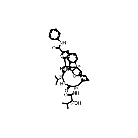 CC(C)[C@H](O)C(=O)N[C@H]1Cc2ccc3c(c2)[C@@]2(c4ccccc4NC2O3)c2oc(nc2-c2nc(C(=O)Nc3ccccc3)co2)[C@H](C(C)C)NC1=O